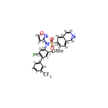 COc1cc(-c2cccc(C(F)(F)F)c2)c(F)cc1N(c1ccon1)S(=O)(=O)c1ccc2cnccc2c1